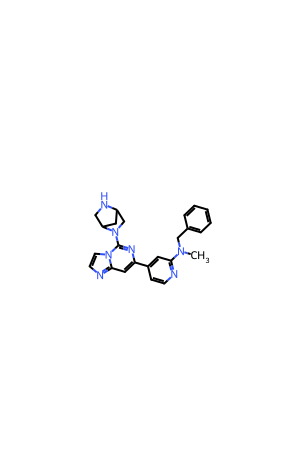 CN(Cc1ccccc1)c1cc(-c2cc3nccn3c(N3CC4CC3CN4)n2)ccn1